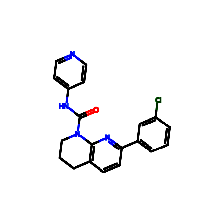 O=C(Nc1ccncc1)N1CCCc2ccc(-c3cccc(Cl)c3)nc21